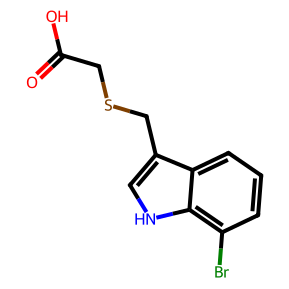 O=C(O)CSCc1c[nH]c2c(Br)cccc12